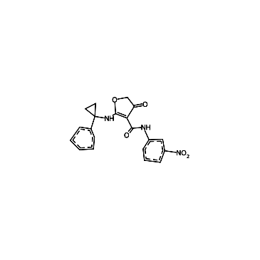 O=C1COC(NC2(c3ccccc3)CC2)=C1C(=O)Nc1cccc([N+](=O)[O-])c1